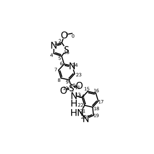 COc1ncc(-c2ccc(S(=O)(=O)Nc3cccc4cn[nH]c34)cn2)s1